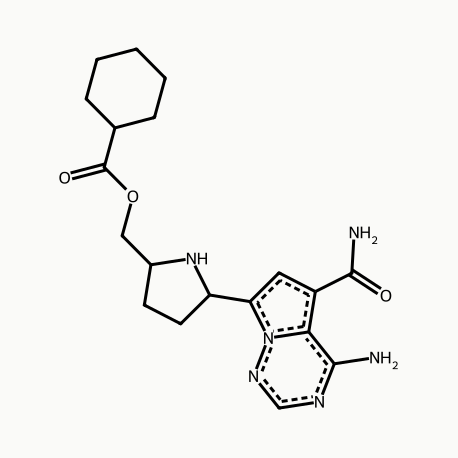 NC(=O)c1cc(C2CCC(COC(=O)C3CCCCC3)N2)n2ncnc(N)c12